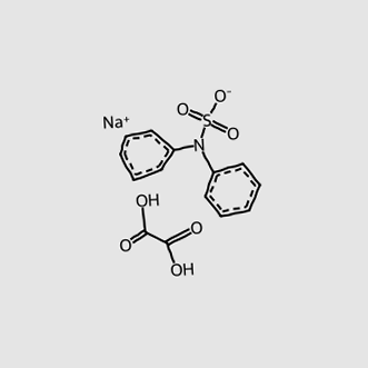 O=C(O)C(=O)O.O=S(=O)([O-])N(c1ccccc1)c1ccccc1.[Na+]